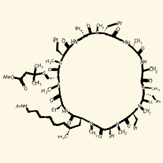 CC[C@@H]1NC(=O)[C@H](C[C@H](C)CCCCCCNC(C)=O)N(C)C(=O)[C@H](C(C)C)N(C)C(=O)[C@H](CC(C)C)N(C)C(=O)[C@@H](CC(C)C)N(C)C(=O)C(C)NC(=O)[C@@H](C)NC(=O)[C@@H](CC(C)C)N(C)C(=O)[C@@H](C(C)C)NC(=O)[C@H](CC(C)C)N(C)C(=O)[C@@H](CSC(C)(C)CC(=O)OC)N(C)C1=O